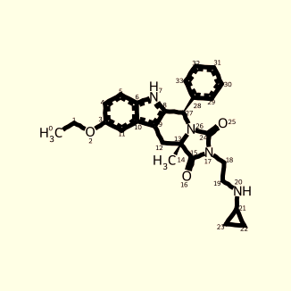 CCOc1ccc2[nH]c3c(c2c1)C[C@@]1(C)C(=O)N(CCNC2CC2)C(=O)N1[C@@H]3c1ccccc1